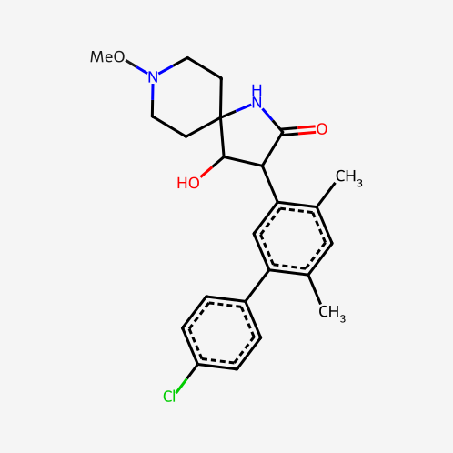 CON1CCC2(CC1)NC(=O)C(c1cc(-c3ccc(Cl)cc3)c(C)cc1C)C2O